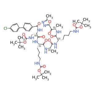 Cc1nnc(C(=O)[C@H](C)NC(=O)[C@H](CCCCNC(=O)OC(C)(C)C)NC(=O)[C@H](C)NC(=O)[C@H](CCCCNC(=O)OC(C)(C)C)NC(=O)[C@H](CNC(=O)OC(C)(C)C)NC(=O)c2ccc(-c3ccc(Cl)cc3)cc2)o1